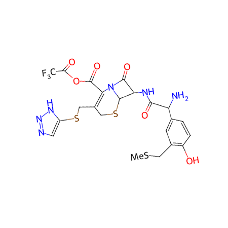 CSCc1cc(C(N)C(=O)NC2C(=O)N3C(C(=O)OC(=O)C(F)(F)F)=C(CSc4cnn[nH]4)CSC23)ccc1O